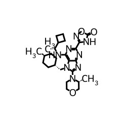 C[C@@H]1COCCN1c1nc2nc(-c3noc(=O)[nH]3)nc(N[C@H](C)C3CCC3)c2n1C[C@H]1CC[C@H](C)CC1